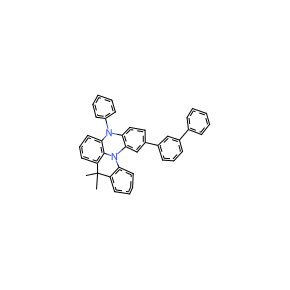 CC1(C)c2ccccc2N2c3cc(-c4cccc(-c5ccccc5)c4)ccc3N(c3ccccc3)c3cccc1c32